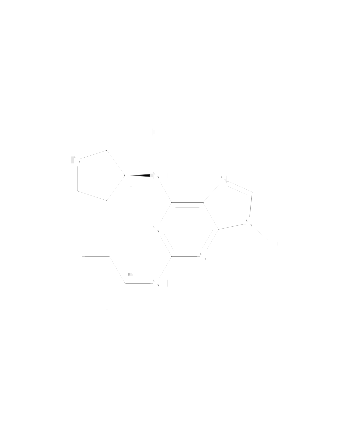 CCn1cnc2c(N[C@H]3CCNC3)nc(N[C@@H](CO)C(C)C)nc21.Cl